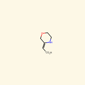 O=C(O)/C=C1/COCCN1